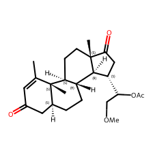 COCC(OC(C)=O)[C@H]1CC(=O)[C@@]2(C)CC[C@H]3[C@@H](CC[C@H]4CC(=O)C=C(C)[C@@]43C)[C@H]12